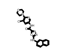 O=C(Nc1cnc(N2CCOCC2)c(Cl)c1)c1nnc(Nc2ccc3ccccc3c2)o1